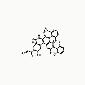 C=CC(=O)N1C[C@@H]2C(=O)Nc3c(c4cc(F)c(-c5c(O)cccc5F)nc4n(-c4c(C)ccnc4C4CC4)c3=O)N2C[C@H]1C